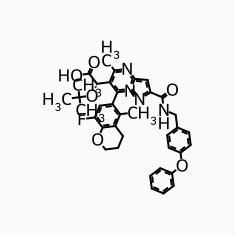 Cc1nc2cc(C(=O)NCc3ccc(Oc4ccccc4)cc3)nn2c(-c2cc(F)c3c(c2C)CCCO3)c1[C@H](OC(C)(C)C)C(=O)O